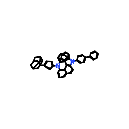 c1ccc(-c2ccc(-n3c4ccccc4c4c5c(N(c6ccccc6)c6ccc(C78CC9CC(CC(C9)C7)C8)cc6)cccc5ccc43)cc2)cc1